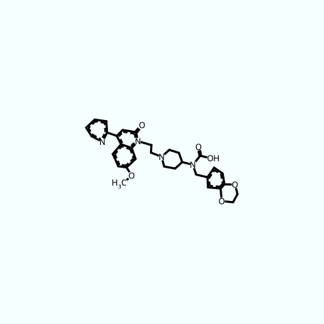 COc1ccc2c(-c3ccccn3)cc(=O)n(CCN3CCC(N(Cc4ccc5c(c4)OCCO5)C(=O)O)CC3)c2c1